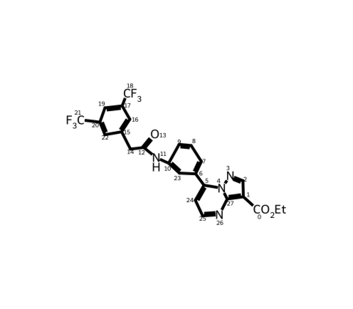 CCOC(=O)c1cnn2c(-c3cccc(NC(=O)Cc4cc(C(F)(F)F)cc(C(F)(F)F)c4)c3)ccnc12